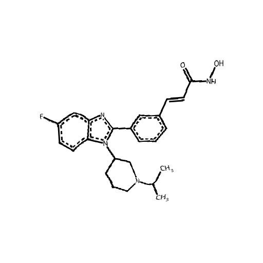 CC(C)N1CCCC(n2c(-c3cccc(C=CC(=O)NO)c3)nc3cc(F)ccc32)C1